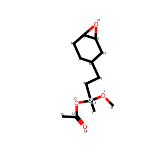 CO[Si](C)(CCC1CCC2OC2C1)OC(C)=O